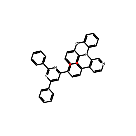 c1ccc(-c2cc(-c3ccc(-c4ccncc4N4c5ccccc5Oc5ccccc54)cc3)nc(-c3ccccc3)n2)cc1